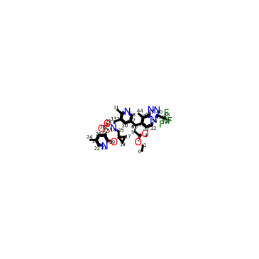 CCOC(=O)C[C@@H](c1cnc(C)c(CN2CC3(CC3)Oc3ncc(C)cc3S2(=O)=O)c1)c1ccn2c(C(F)(F)F)nnc2c1C